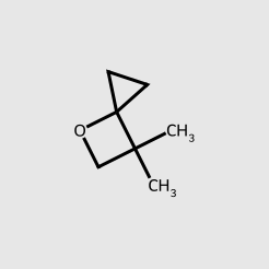 CC1(C)COC12CC2